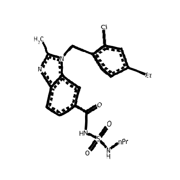 CCCNS(=O)(=O)NC(=O)c1ccc2nc(C)n(Cc3ccc(CC)cc3Cl)c2c1